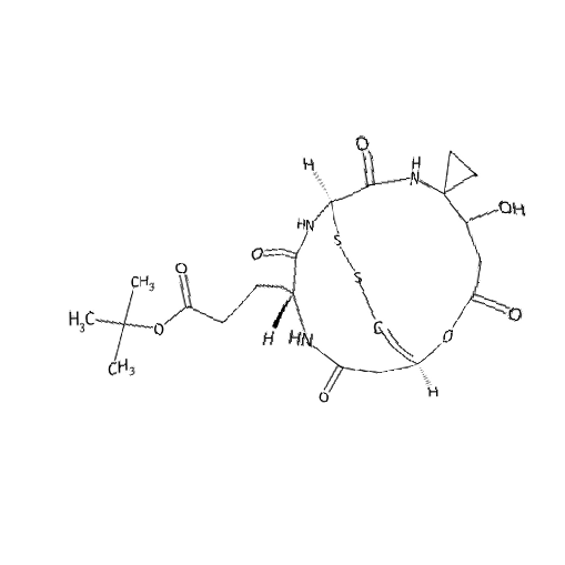 CC(C)(C)OC(=O)CC[C@H]1NC(=O)C[C@H]2/C=C/CCSSC[C@@H](NC1=O)C(=O)NC1(CC1)C(O)CC(=O)O2